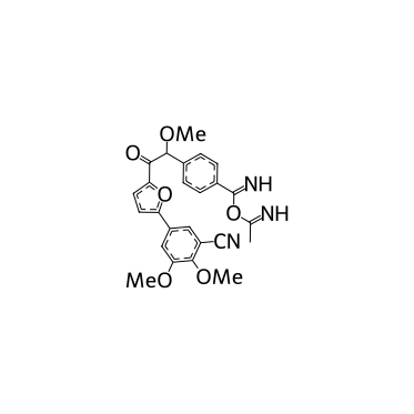 COc1cc(-c2ccc(C(=O)C(OC)c3ccc(C(=N)OC(C)=N)cc3)o2)cc(C#N)c1OC